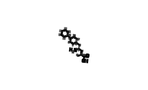 C/C(=C\C(N)Cc1ccc(-c2ccccc2)cc1)C(=O)O